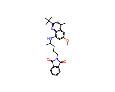 COc1cc(NC(C)CCCN2C(=O)c3ccccc3C2=O)c2nc(C(C)(C)C)cc(C)c2c1